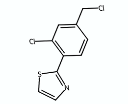 ClCc1ccc(-c2nccs2)c(Cl)c1